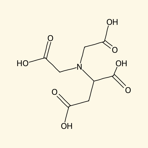 O=C(O)CC(C(=O)O)N(CC(=O)O)CC(=O)O